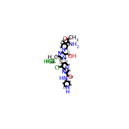 Cc1nc(N2CCC3(CC2)CO[C@@H](C)[C@H]3N)c(CO)nc1Sc1ccn2cc(C(=O)NC3CCNCC3)nc2c1Cl.Cl.Cl